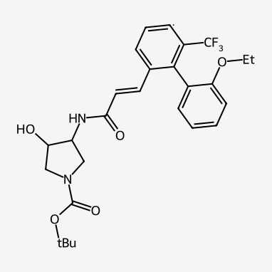 CCOc1ccccc1-c1c(C(F)(F)F)[c]ccc1/C=C/C(=O)NC1CN(C(=O)OC(C)(C)C)CC1O